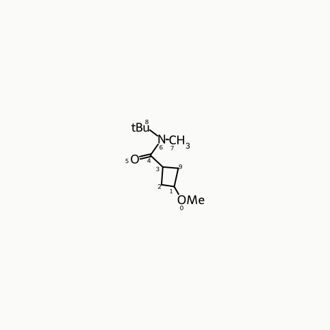 COC1CC(C(=O)N(C)C(C)(C)C)C1